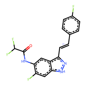 O=C(Nc1cc2c(/C=C/c3ccc(F)cc3)n[nH]c2cc1F)C(F)F